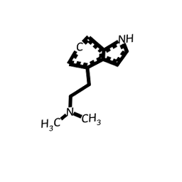 CN(C)CCc1cccc2[nH]ccc12